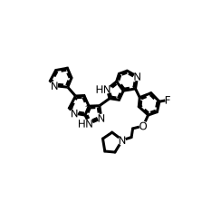 Fc1cc(OCCN2CCCC2)cc(-c2nccc3[nH]c(-c4n[nH]c5ncc(-c6ccccn6)cc45)cc23)c1